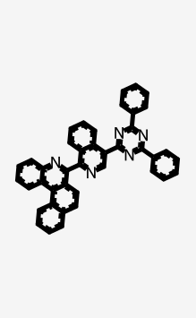 c1ccc(-c2nc(-c3ccccc3)nc(-c3cnc(-c4nc5ccccc5c5c4ccc4ccccc45)c4ccccc34)n2)cc1